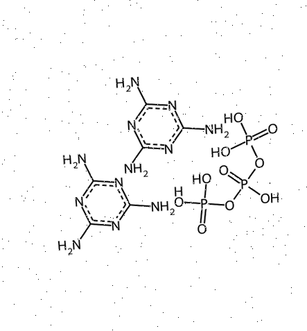 Nc1nc(N)nc(N)n1.Nc1nc(N)nc(N)n1.O=P(O)(O)OP(=O)(O)OP(=O)(O)O